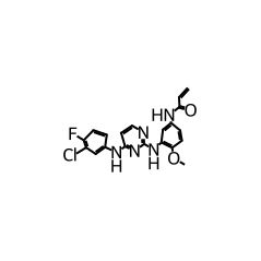 C=CC(=O)Nc1ccc(OC)c(Nc2nccc(Nc3ccc(F)c(Cl)c3)n2)c1